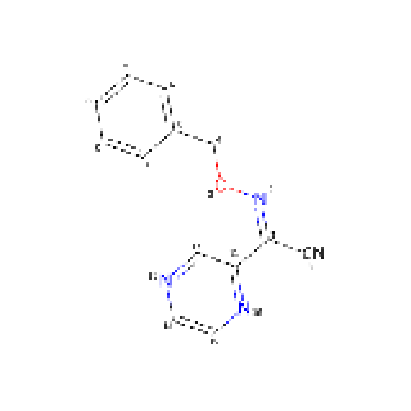 N#CC(=NOCc1ccccc1)c1cnccn1